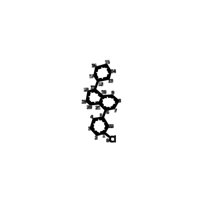 Clc1cccc(-c2cccc3c(-c4ccccc4)cccc23)c1